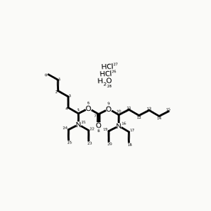 CCCCCC(OC(=O)OC(CCCCC)N(CC)CC)N(CC)CC.Cl.Cl.O